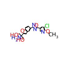 CCOc1ncc(-c2nc(-c3ccc4oc(C(N)(CO)CO)cc4c3)no2)cc1Cl